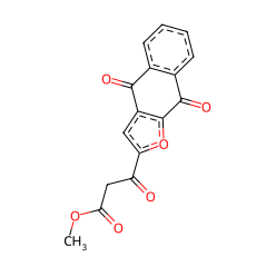 COC(=O)CC(=O)c1cc2c(o1)C(=O)c1ccccc1C2=O